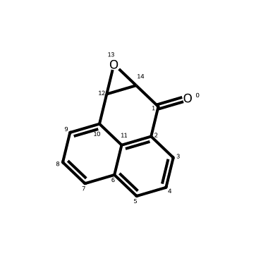 O=C1c2cccc3cccc(c23)C2OC12